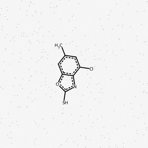 Cc1cc(Cl)c2nc(S)oc2c1